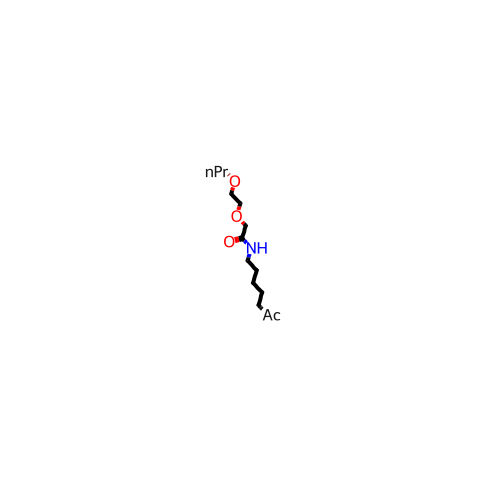 CCCOCCOCC(=O)NCCCCCC(C)=O